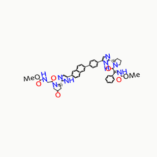 COC(=O)NCC(=O)N1CC(=O)C[C@H]1c1ncc(-c2ccc3cc(-c4ccc(-c5cnc([C@@H]6CCCN6C(=O)[C@H](NC(=O)OC)c6ccccc6)[nH]5)cc4)ccc3c2)[nH]1